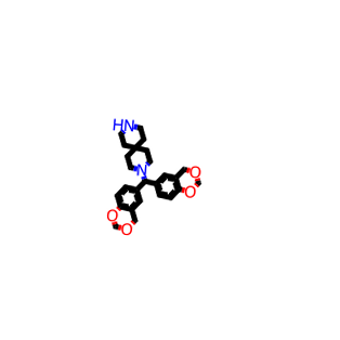 c1cc2c(cc1C(c1ccc3c(c1)COCO3)N1CCC3(CCNCC3)CC1)COCO2